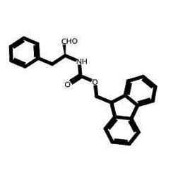 O=C[C@H](Cc1ccccc1)NC(=O)OCC1c2ccccc2-c2ccccc21